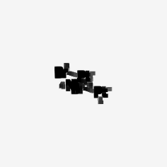 [Br][Pt-].[Br][Pt-].[Ni+2]